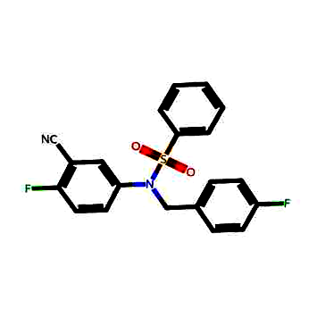 N#Cc1cc(N(Cc2ccc(F)cc2)S(=O)(=O)c2ccccc2)ccc1F